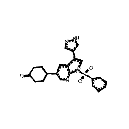 O=C1CCC(c2cnc3c(c2)c(-c2cn[nH]c2)cn3S(=O)(=O)c2ccccc2)CC1